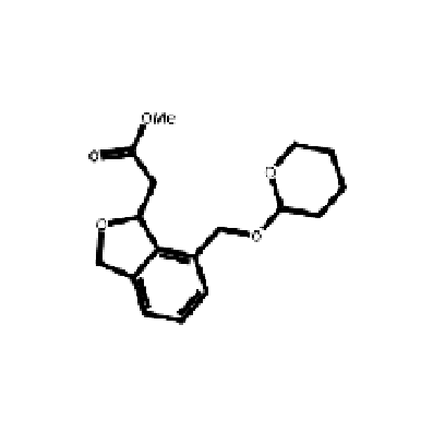 COC(=O)CC1OCc2cccc(COC3CCCCO3)c21